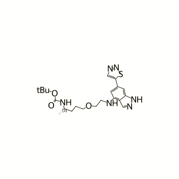 C[C@@H](CCCOCCNc1cc(-c2cnns2)cc2[nH]ncc12)NC(=O)OC(C)(C)C